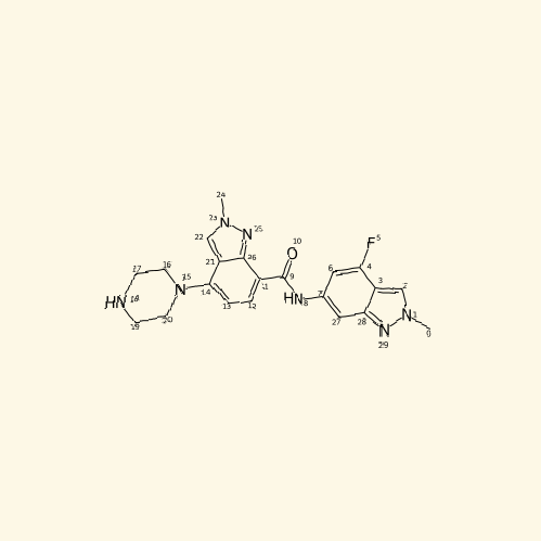 Cn1cc2c(F)cc(NC(=O)c3ccc(N4CCNCC4)c4cn(C)nc34)cc2n1